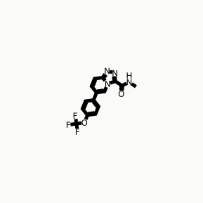 CNC(=O)c1nnc2ccc(-c3ccc(OC(F)(F)F)cc3)cn12